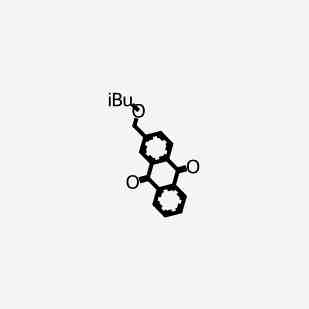 CCC(C)OCc1ccc2c(c1)C(=O)c1ccccc1C2=O